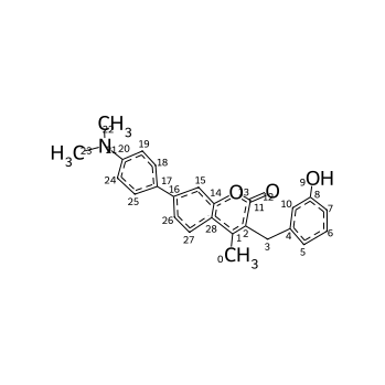 Cc1c(Cc2cccc(O)c2)c(=O)oc2cc(-c3ccc(N(C)C)cc3)ccc12